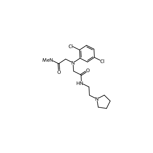 CNC(=O)CN(CC(=O)NCCN1CCCC1)c1cc(Cl)ccc1Cl